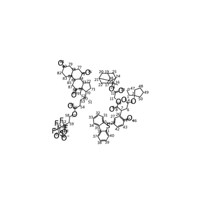 CCC1(OC(=O)CC(C(=O)OCC(=O)OC2(C)C3CC4CC(C3)CC2C4)c2cc(-[s+]3c4ccccc4c4ccccc43)ccc2OC)CCCC1.C[C@H](CCC(=O)OCCC(F)(F)C(F)(F)S(=O)(=O)[O-])C1CCC2C3C(=O)CC4CC(=O)CCC4(C)C3CC(=O)C21C